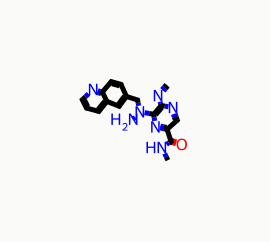 C=Nc1ncc(C(=O)NC)nc1N(N)Cc1ccc2ncccc2c1